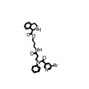 O=C(CCN(C(=O)c1cncc(Br)c1)c1ccccc1)NCCCOC(=O)C1NCCc2ccccc21